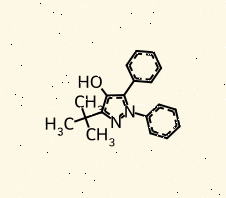 CC(C)(C)c1nn(-c2ccccc2)c(-c2ccccc2)c1O